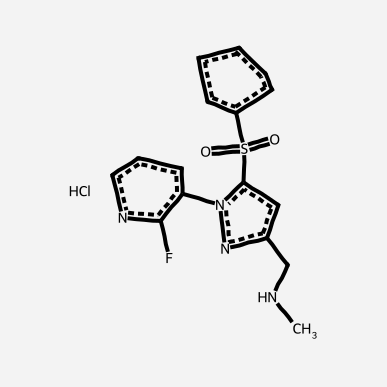 CNCc1cc(S(=O)(=O)c2ccccc2)n(-c2cccnc2F)n1.Cl